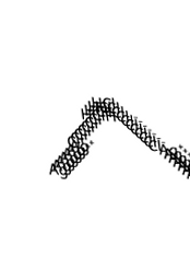 Cl.Cl.Cl.Cl.Cl.Cl.Cl.[Ag+].[Ag+].[Ag+].[Ag+].[Ag+].[Ag+].[Ag+].[Ag+].[Ag+].[Ag+].[Ag+].[Ag+].[Ag+].[Ag+].[Cl-].[Cl-].[Cl-].[Cl-].[Cl-].[Cl-].[Cl-].[Cl-].[Cl-].[Cl-].[Cl-].[Cl-].[Cl-].[Cl-]